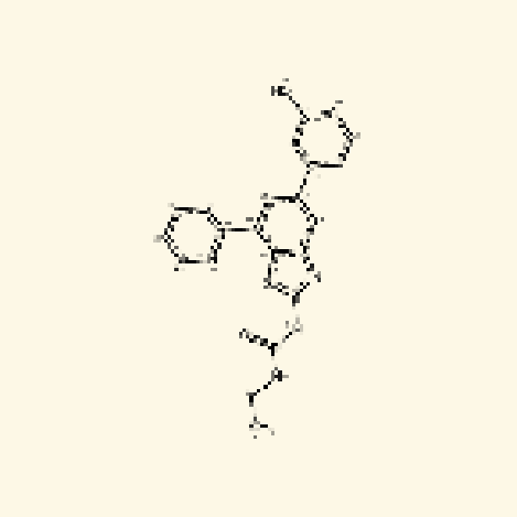 CCNC(=O)Nc1nc2cc(-c3ccnc(O)c3)cc(-c3ccccn3)c2s1